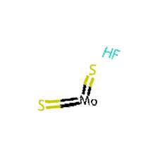 F.[S]=[Mo]=[S]